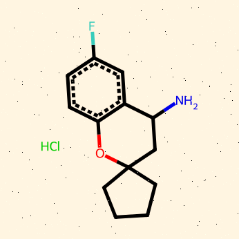 Cl.NC1CC2(CCCC2)Oc2ccc(F)cc21